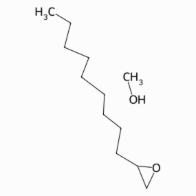 CCCCCCCCCC1CO1.CO